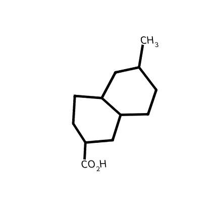 CC1CCC2CC(C(=O)O)CCC2C1